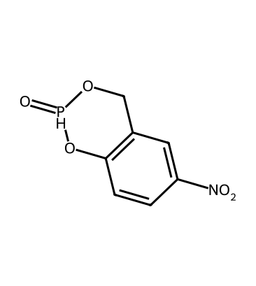 O=[N+]([O-])c1ccc2c(c1)CO[PH](=O)O2